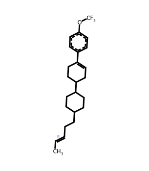 C/C=C/CCC1CCC(C2CC=C(c3ccc(OC(F)(F)F)cc3)CC2)CC1